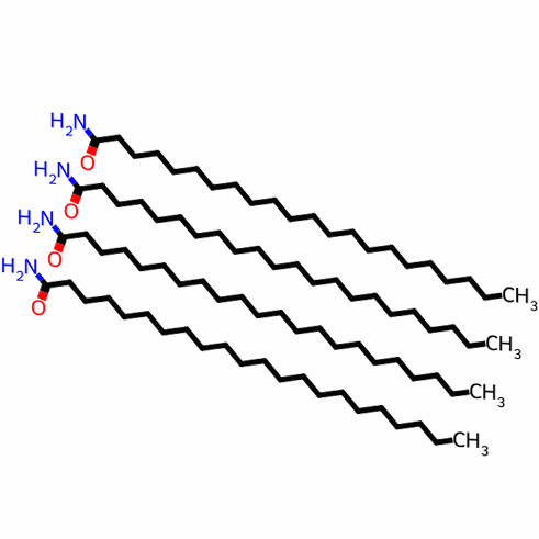 CCCCCCCCCCCCCCCCCCCCCC(N)=O.CCCCCCCCCCCCCCCCCCCCCC(N)=O.CCCCCCCCCCCCCCCCCCCCCC(N)=O.CCCCCCCCCCCCCCCCCCCCCC(N)=O